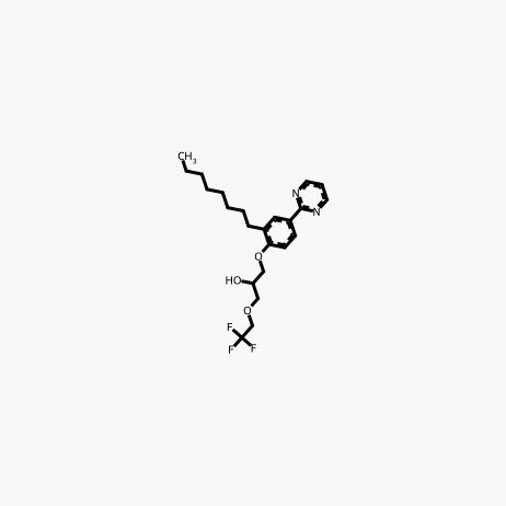 CCCCCCCCc1cc(-c2ncccn2)ccc1OCC(O)COCC(F)(F)F